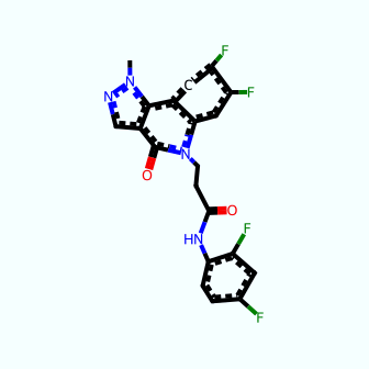 Cn1ncc2c(=O)n(CCC(=O)Nc3ccc(F)cc3F)c3cc(F)c(F)cc3c21